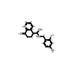 O=C1CCC(C(O)NCc2ccc(Br)cc2F)c2cccnc21